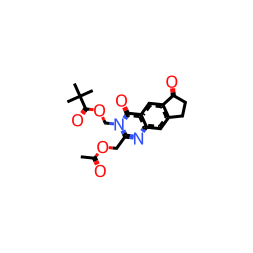 CC(=O)OCc1nc2cc3c(cc2c(=O)n1COC(=O)C(C)(C)C)C(=O)CC3